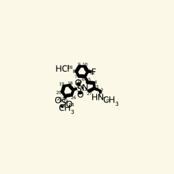 CNCc1cc(-c2ccccc2F)n(S(=O)(=O)c2cccc(S(C)(=O)=O)c2)c1.Cl